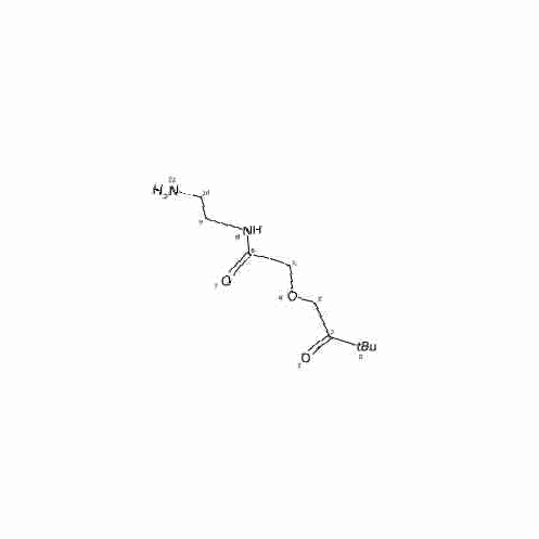 CC(C)(C)C(=O)COCC(=O)NCCN